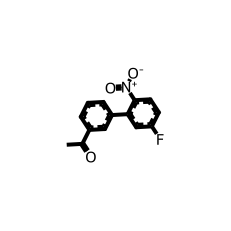 CC(=O)c1cccc(-c2cc(F)ccc2[N+](=O)[O-])c1